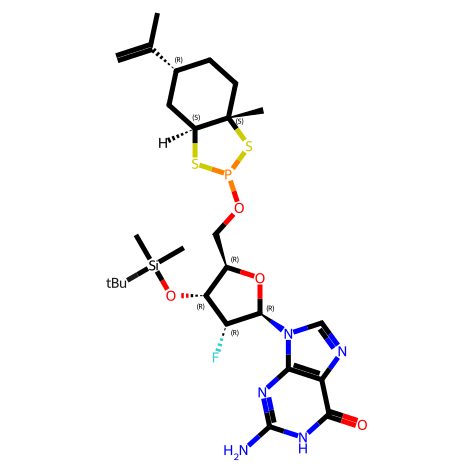 C=C(C)[C@@H]1CC[C@]2(C)SP(OC[C@H]3O[C@@H](n4cnc5c(=O)[nH]c(N)nc54)[C@H](F)[C@@H]3O[Si](C)(C)C(C)(C)C)S[C@H]2C1